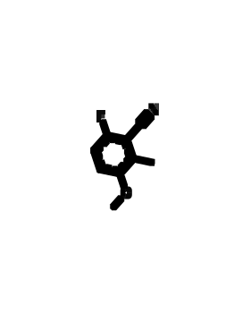 COc1ccc(F)c(C#N)c1C